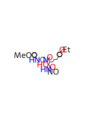 CCOc1ccc(CCCC(C(=O)N2CCC(Nc3cccc(OC)c3)CC2)[C@H](O)C(=O)NN=O)cc1